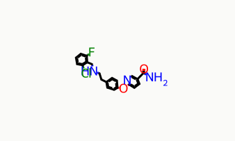 NC(=O)c1ccc(Oc2ccc(CCNCc3c(F)cccc3Cl)cc2)nc1